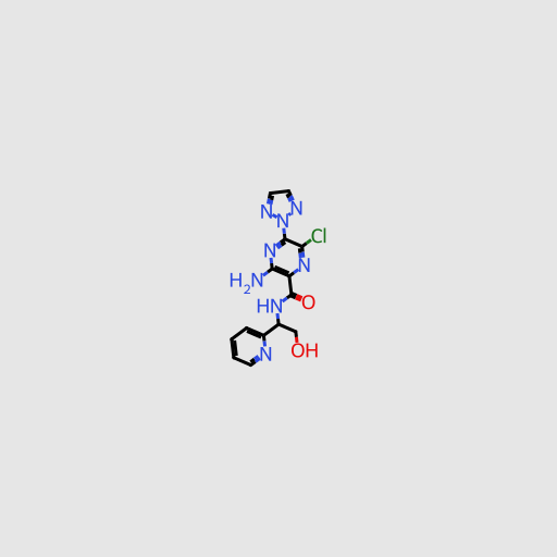 Nc1nc(-n2nccn2)c(Cl)nc1C(=O)NC(CO)c1ccccn1